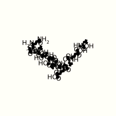 CC(C)C[C@H](NCCCC(=O)C(=O)O)C(=O)O.CN[C@@H](C)C(=O)O.CN[C@@H](CC(C)C)C(=O)O.CN[C@@H](CC(C)C)C(=O)O.C[C@H](OC(=O)C(N)CCC(N)=O)C(=O)O.O=C(O)C(=O)CCCN1C(=O)CC[C@H]1C(=O)O.O=C(O)[C@@H]1CCCN1.O=C1CC[C@@H](C(=O)O)N1